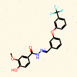 COc1cc(C(=O)N/N=C/c2cccc(Oc3cccc(C(F)(F)F)c3)c2)ccc1O